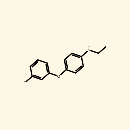 CCNc1ccc(Oc2cccc(F)c2)cc1